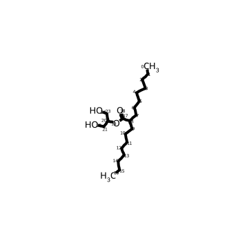 CCCCCCCCC(CCCCCCCC)C(=O)OC(CO)CO